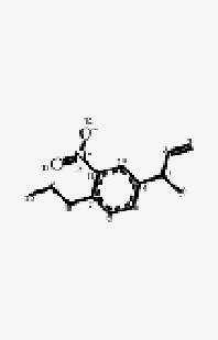 [CH2]C(C=C)c1ccc(CCC)c([N+](=O)[O-])c1